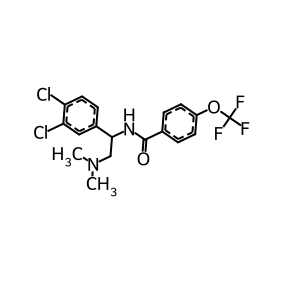 CN(C)CC(NC(=O)c1ccc(OC(F)(F)F)cc1)c1ccc(Cl)c(Cl)c1